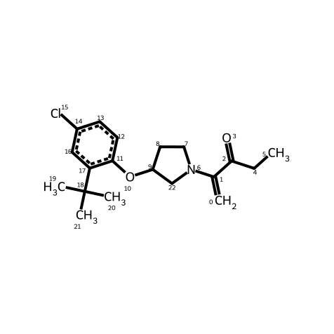 C=C(C(=O)CC)N1CCC(Oc2ccc(Cl)cc2C(C)(C)C)C1